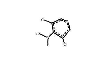 CCN(C)c1c(Cl)cnnc1Cl